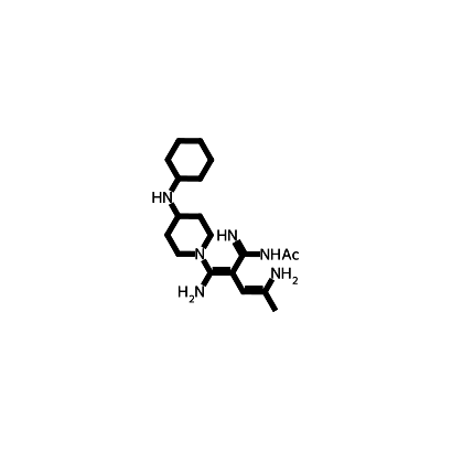 CC(=O)NC(=N)C(/C=C(/C)N)=C(/N)N1CCC(NC2CCCCC2)CC1